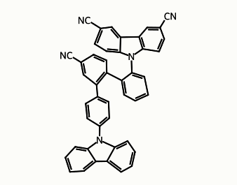 N#Cc1ccc(-c2ccccc2-n2c3ccc(C#N)cc3c3cc(C#N)ccc32)c(-c2ccc(-n3c4ccccc4c4ccccc43)cc2)c1